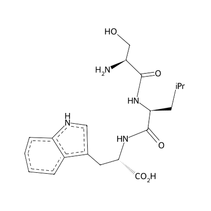 CC(C)C[C@H](NC(=O)[C@@H](N)CO)C(=O)N[C@@H](Cc1c[nH]c2ccccc12)C(=O)O